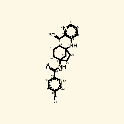 O=Cc1ncccc1NC12CCCC(NC(=O)c3ccc(F)cn3)(CC1)C2